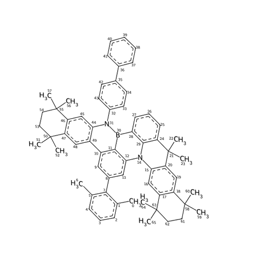 Cc1cccc(C)c1-c1cc2c3c(c1)N1c4cc5c(cc4C(C)(C)c4cccc(c41)B3N(c1ccc(-c3ccccc3)cc1)c1cc3c(cc1-2)C(C)(C)CCC3(C)C)C(C)(C)CCC5(C)C